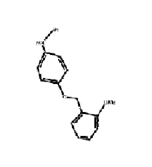 COc1ccccc1COc1ccc(NC(C)C)cc1